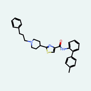 Cc1ccc(-c2ccccc2NC(=O)c2csc(C3CCN(CCCc4ccccc4)CC3)n2)cc1